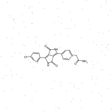 NC(=O)C[n+]1ccc(C2=C3C(=O)NC(c4ccc(Cl)cc4)=C3C(=O)N2)cc1